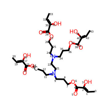 CC=C(O)C(=O)OCCCN(CCCOC(=O)C(O)=CC)CCN(CCCOC(=O)C(O)=CC)CCCOC(=O)C(O)=CC